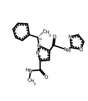 CNC(=O)c1cc(C(=O)Nc2ncco2)n([C@@H](C)c2ccccc2)n1